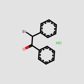 CCC(C(=O)c1ccccc1)c1ccccc1.Cl